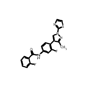 Cc1nn(-c2nccs2)cc1-c1ccc(NC(=O)c2ccccc2F)cc1F